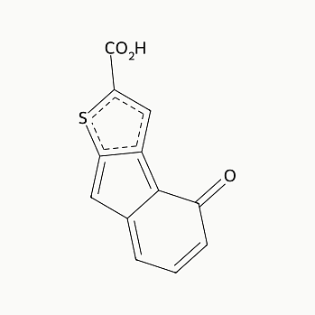 O=C1C=CC=C2C=c3sc(C(=O)O)cc3=C12